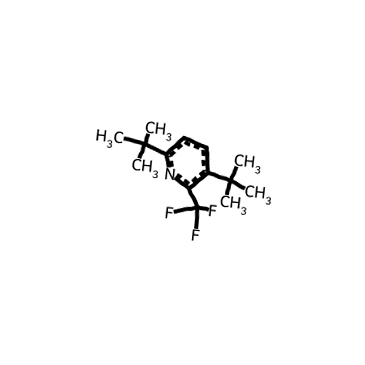 CC(C)(C)c1ccc(C(C)(C)C)c(C(F)(F)F)n1